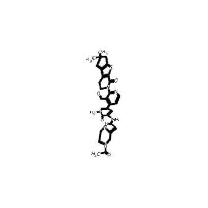 CC(=O)N1CCn2nc(Nc3cc(-c4ccnc(N5CCc6c(sc7c6CC(C)(C)C7)C5=O)c4C=O)cn(C)c3=O)cc2C1